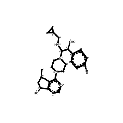 C[C@@H]1C[C@H](O)c2ncnc(N3CCN(C(NCC4CC4)C(C=O)c4ccc(Br)cc4)CC3)c21